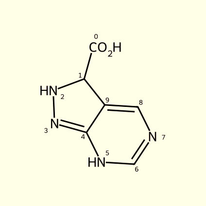 O=C(O)C1NN=C2NC=NC=C21